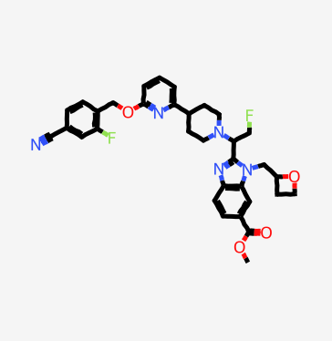 COC(=O)c1ccc2nc(C(CF)N3CCC(c4cccc(OCc5ccc(C#N)cc5F)n4)CC3)n(CC3CCO3)c2c1